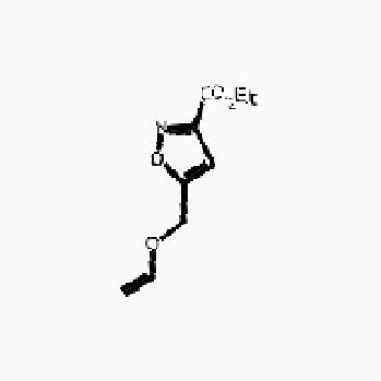 C=COCc1cc(C(=O)OCC)no1